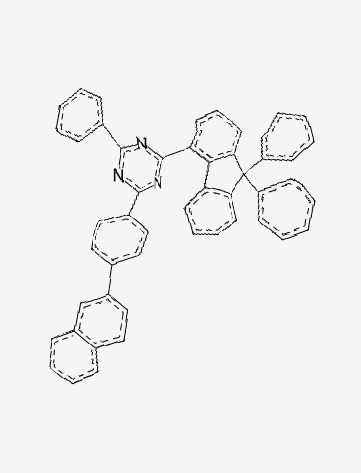 c1ccc(-c2nc(-c3ccc(-c4ccc5ccccc5c4)cc3)nc(-c3cccc4c3-c3ccccc3C4(c3ccccc3)c3ccccc3)n2)cc1